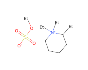 CCC1CCCC[N+]1(CC)CC.CCOS(=O)(=O)[O-]